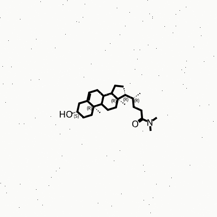 C[C@H](CCC(=O)N(C)C)[C@H]1CCC2C3CC=C4C[C@@H](O)CC[C@]4(C)C3CC[C@@]21C